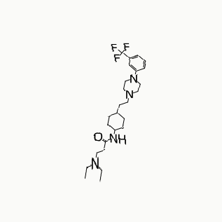 CCN(CC)CCC(=O)NC1CCC(CCN2CCN(c3cccc(C(F)(F)F)c3)CC2)CC1